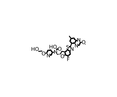 COc1cnc2c(-c3nc4cc(F)c5c(c4s3)C[C@H](CN(C(=O)O)c3ccc(OCCO)nc3)O5)cc(C)cc2n1